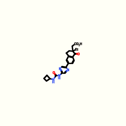 CCC1(CC(=O)O)CCc2cc(-c3cnc(NC(=O)NC4CCC4)cn3)ccc2C1=O